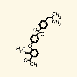 CCc1c(Oc2ccc(S(=O)(=O)c3ccc(CC(C)N)cc3)cc2)cccc1C(=O)O